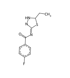 CCC1N[N]C(=NC(=O)c2ccc(F)cc2)S1